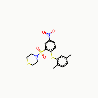 Cc1ccc(C)c(Sc2ccc([N+](=O)[O-])cc2S(=O)(=O)N2CCSCC2)c1